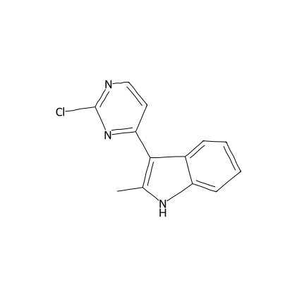 Cc1[nH]c2ccccc2c1-c1ccnc(Cl)n1